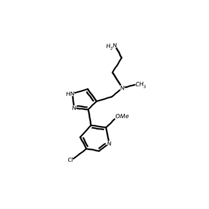 COc1ncc(Cl)cc1-c1n[nH]cc1CN(C)CCN